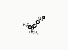 CC(=O)N1CC2(CCN(C3CCN(C(=O)OC4CCC4)CC3)CC2)c2cc(C)ccc21